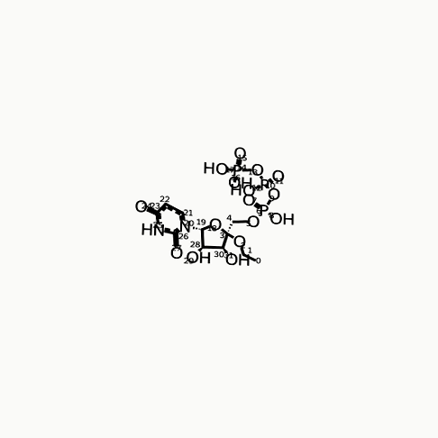 CCO[C@]1(COP(=O)(O)OP(=O)(O)OP(=O)(O)O)O[C@@H](n2ccc(=O)[nH]c2=O)[C@H](O)[C@@H]1O